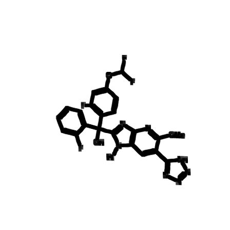 CCn1c(C(O)(c2ccccc2F)c2ccc(OC(F)F)cc2F)nc2nc(OC)c(-c3nnn[nH]3)cc21